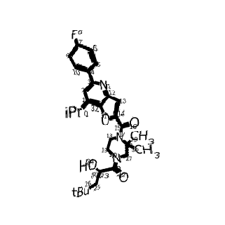 CC(C)c1cc(-c2ccc(F)cc2)nc2cc(C(=O)N3CCN(C(=O)[C@H](O)CC(C)(C)C)CC3(C)C)oc12